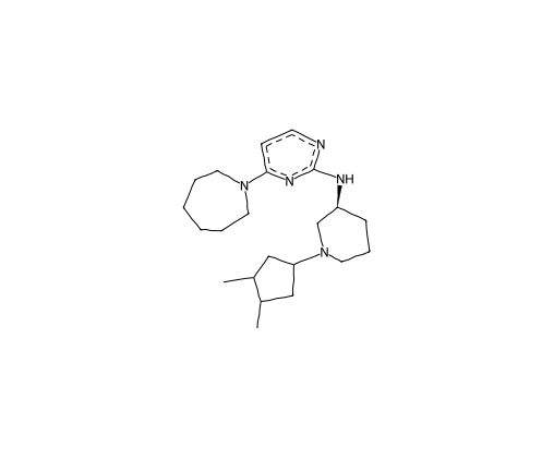 CC1CC(N2CCC[C@H](Nc3nccc(N4CCCCCC4)n3)C2)CC1C